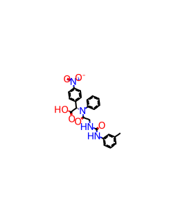 Cc1cccc(NC(=O)NCC(=O)N(c2ccccc2)[C@H](C(=O)O)c2ccc([N+](=O)[O-])cc2)c1